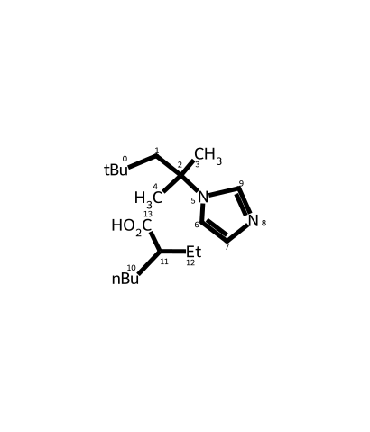 CC(C)(C)CC(C)(C)n1ccnc1.CCCCC(CC)C(=O)O